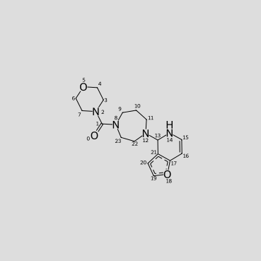 O=C(N1CCOCC1)N1CCCN(C2NC=Cc3occc32)CC1